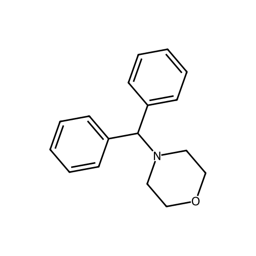 c1ccc(C(c2ccccc2)N2CCOCC2)cc1